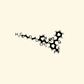 COCCOCCOc1ccnc(C[S+]([O-])C2C=CC(C(F)(F)F)=CC2C(=O)C(=O)c2ccccc2)c1C